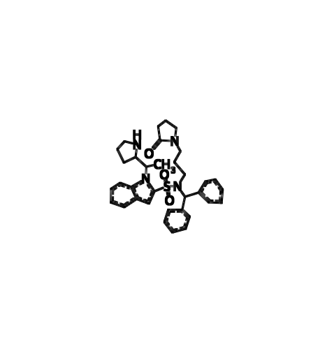 CC(C1CCCN1)n1c(S(=O)(=O)N(CCCN2CCCC2=O)C(c2ccccc2)c2ccccc2)cc2ccccc21